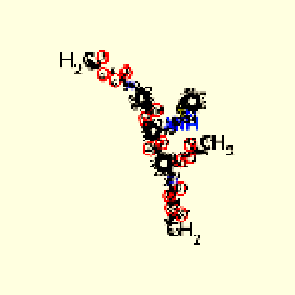 C=CC(=O)OCOC(=O)/C=C/c1ccc(C(=O)Oc2ccc(OC(=O)c3ccc(/C=C/C(=O)OCOC(=O)C=C)c(OCOC(=O)C=C)c3)c(/C=N/Nc3nc4ccccc4s3)c2)cc1